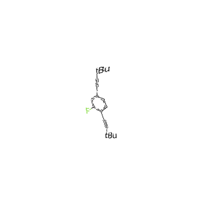 CC(C)(C)C#Cc1ccc(C#CC(C)(C)C)c(F)c1